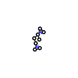 c1ccc(-c2cc(-n3c4ccccc4c4ccccc43)ccc2-c2cccc(-c3ccc(-n4c5ccccc5c5ccccc54)cc3)c2)cc1